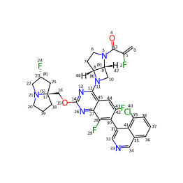 C=C(F)C(=O)N1CC[C@@H]2[C@H]1CN2c1nc(OC[C@@]23CCCN2C[C@H](F)C3)nc2c(F)c(-c3cncc4cccc(Cl)c34)c(F)cc12